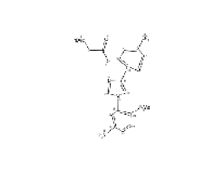 CCCCCCCCCCCC(=O)Oc1cc(C(F)(F)F)ccc1-c1cn(-c2cc([N+](=O)[O-])ccc2NC)cn1